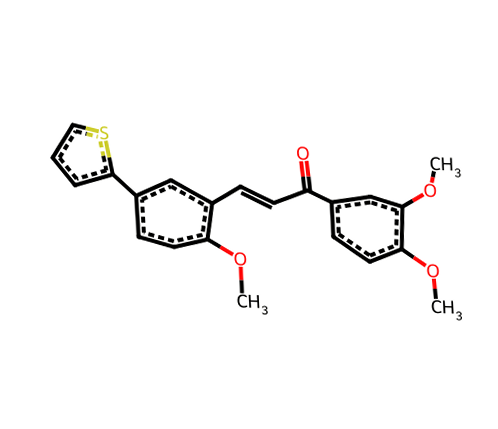 COc1ccc(-c2cccs2)cc1C=CC(=O)c1ccc(OC)c(OC)c1